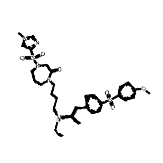 CCN(CCCCN1CCCN(S(=O)(=O)c2cn(C)cn2)CC1=O)C(C)Cc1ccc(S(=O)(=O)c2ccc(OC)cc2)cc1